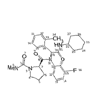 CNC(=O)N1CCC[C@@H]1C(=O)N(c1cccc(F)c1)[C@H](C(=O)NC1CCCCC1)c1ccccc1C